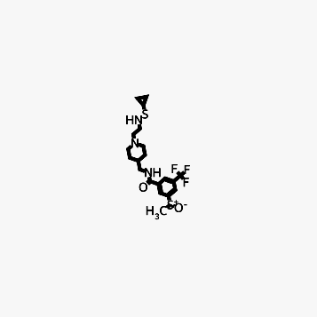 C[S+]([O-])c1cc(C(=O)NCC2CCN(CCNSC3CC3)CC2)cc(C(F)(F)F)c1